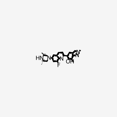 Cc1c(O)c(-c2ccc3cc(N4C[C@H](C)N[C@@H](C)C4)cc(F)c3n2)cc2cn(C)nc12